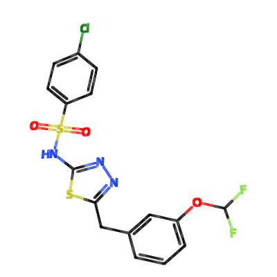 O=S(=O)(Nc1nnc(Cc2cccc(OC(F)F)c2)s1)c1ccc(Cl)cc1